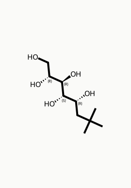 CC(C)(C)C[C@@H](O)[C@H](O)[C@H](O)[C@H](O)CO